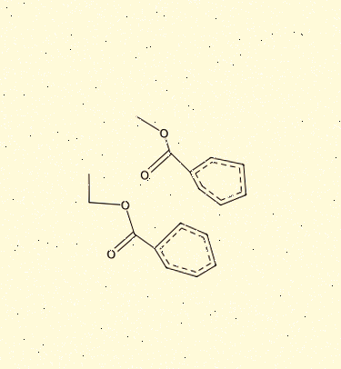 CCOC(=O)c1ccccc1.COC(=O)c1ccccc1